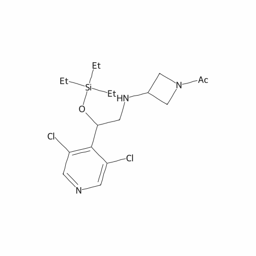 CC[Si](CC)(CC)OC(CNC1CN(C(C)=O)C1)c1c(Cl)cncc1Cl